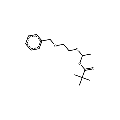 CC(OCCOCc1ccccc1)OC(=O)C(C)(C)C